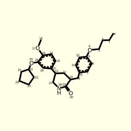 CCCCOc1ccc(CC2CC(c3ccc(OC)c(OC4CCCC4)c3)CNC2=O)cc1